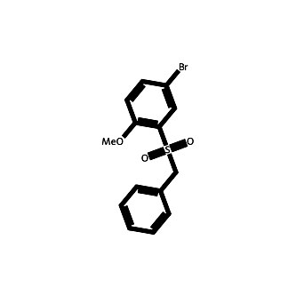 COc1ccc(Br)cc1S(=O)(=O)Cc1ccccc1